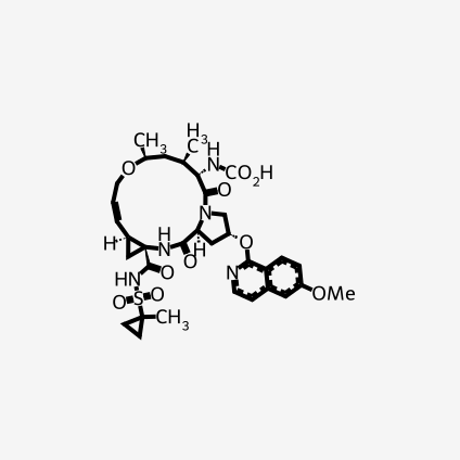 COc1ccc2c(O[C@@H]3C[C@H]4C(=O)N[C@]5(C(=O)NS(=O)(=O)C6(C)CC6)C[C@H]5C=CCO[C@@H](C)C[C@@H](C)[C@H](NC(=O)O)C(=O)N4C3)nccc2c1